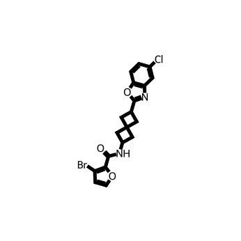 O=C(NC1CC2(C1)CC(c1nc3cc(Cl)ccc3o1)C2)c1occc1Br